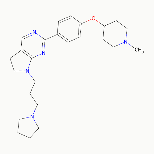 CN1CCC(Oc2ccc(-c3ncc4c(n3)N(CCCN3CCCC3)CC4)cc2)CC1